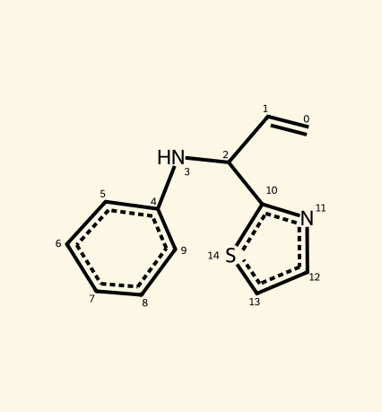 C=CC(Nc1ccccc1)c1nccs1